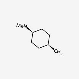 CN[C@H]1CC[C@@H](C)CC1